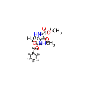 CCOC(=O)c1[nH]c(C)c(NC(=O)OCc2ccccc2)c1OC